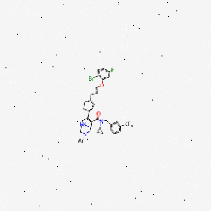 CC(=O)N1CC2CC(c3ccc(CCCOc4cc(F)ccc4Br)cc3)=C(C(=O)N(Cc3cccc(C(F)(F)F)c3)C3CC3)C(C1)N2